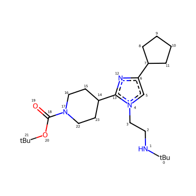 CC(C)(C)NCCn1cc(C2CCCC2)nc1C1CCN(C(=O)OC(C)(C)C)CC1